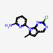 Cc1cc2cnc(Cl)nc2n1-c1cccc(N)n1